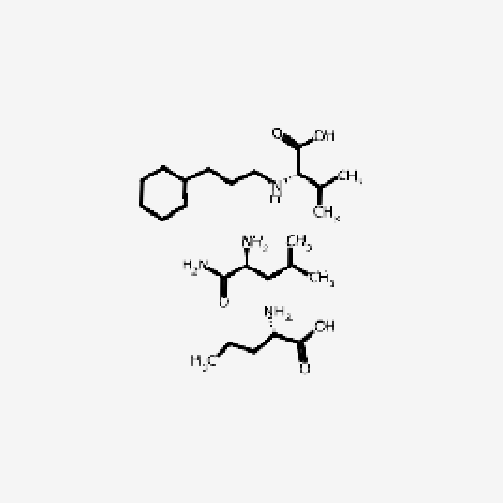 CC(C)C[C@H](N)C(N)=O.CC(C)[C@H](NCCCC1CCCCC1)C(=O)O.CCC[C@H](N)C(=O)O